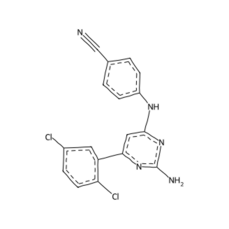 N#Cc1ccc(Nc2cc(-c3cc(Cl)ccc3Cl)nc(N)n2)cc1